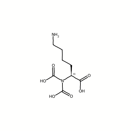 NCCCC[C@@H](C(=O)O)N(C(=O)O)C(=O)O